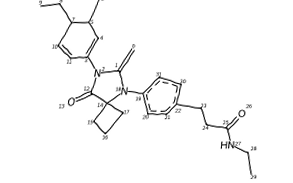 C=C1N(C2=CC(C)C(CC)C=C2)C(=O)C2(CCC2)N1c1ccc(CCC(=O)NCC)cc1